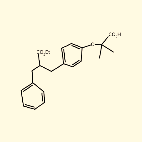 CCOC(=O)C(Cc1ccccc1)Cc1ccc(OC(C)(C)C(=O)O)cc1